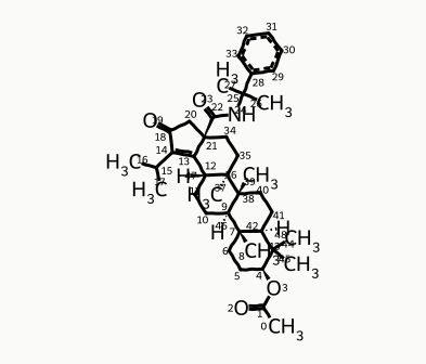 CC(=O)O[C@H]1CC[C@]2(C)[C@H]3CC[C@@H]4C5=C(C(C)C)C(=O)C[C@]5(C(=O)NC(C)(C)c5ccccc5)CC[C@@]4(C)[C@]3(C)CC[C@H]2C1(C)C